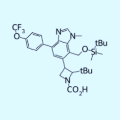 Cn1cnc2c(-c3ccc(OC(F)(F)F)cc3)cc(C3CN(C(=O)O)C3C(C)(C)C)c(CO[Si](C)(C)C(C)(C)C)c21